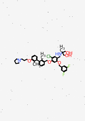 Cc1c(COc2cc(OCc3cc(F)cc(F)c3)c(CNC(C)(CO)CO)cc2Cl)cccc1-c1cccc(OCCCN2CCCC2)c1C